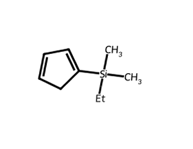 CC[Si](C)(C)C1=CC=CC1